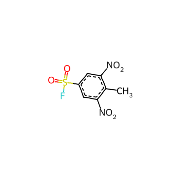 Cc1c([N+](=O)[O-])cc(S(=O)(=O)F)cc1[N+](=O)[O-]